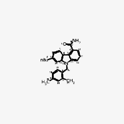 CCCCc1c[c]c2c3c(C(N)=O)cccc3n(Cc3ccc(C)cc3C)c2c1